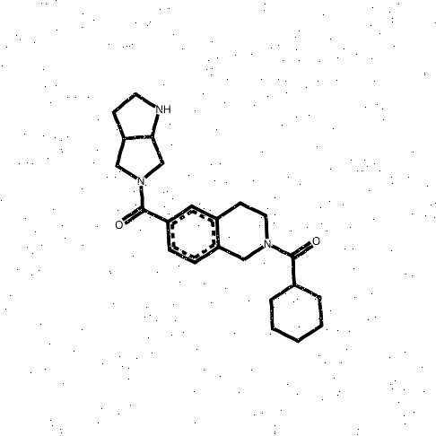 O=C(c1ccc2c(c1)CCN(C(=O)C1CCCCC1)C2)N1CC2CCNC2C1